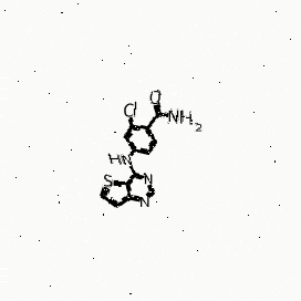 NC(=O)c1ccc(Nc2ncnc3ccsc23)cc1Cl